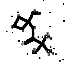 CCC(C)(C)C(=O)CC1(OC)CCC1